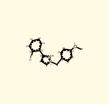 COc1ccc(Cn2ccc(-c3ccccc3F)n2)cc1